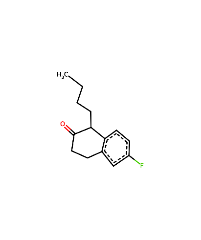 CCCCC1C(=O)CCc2cc(F)ccc21